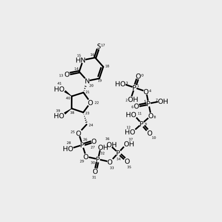 O=P(O)(O)OP(=O)(O)OP(=O)(O)O.O=c1[nH]c(=S)ccn1[C@@H]1O[C@H](COP(=O)(O)OP(=O)(O)OP(=O)(O)O)[C@@H](O)[C@H]1O